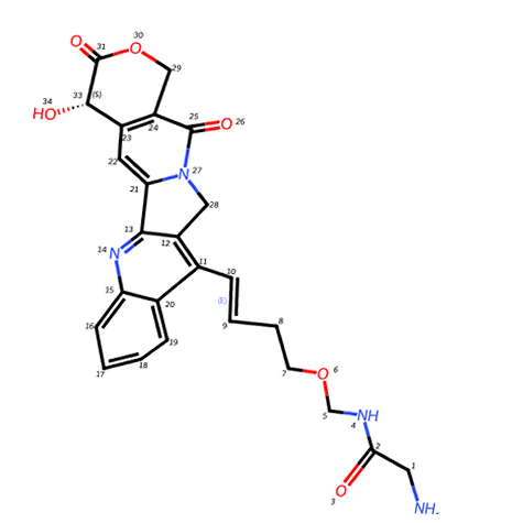 NCC(=O)NCOCC/C=C/c1c2c(nc3ccccc13)-c1cc3c(c(=O)n1C2)COC(=O)[C@H]3O